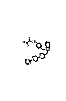 Fc1ccc(Cn2c(CC3CCN(C4CCN(c5ncccn5)CC4)CC3)nc3ccccc32)cc1.O=C(O)C(=O)O